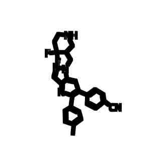 Cc1ccc(-c2nc3cnn(CC4CNCCC4(F)F)c3cc2-c2ccc(C#N)cc2)cc1